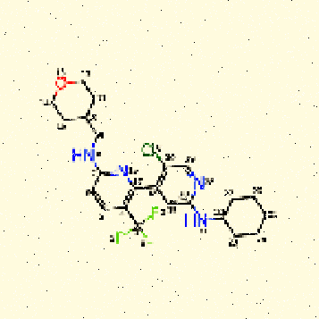 FC(F)(F)c1ccc(NCC2CCOCC2)nc1-c1cc(NC2CCCCC2)ncc1Cl